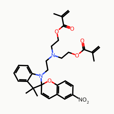 C=C(C)C(=O)OCCN(CCOC(=O)C(=C)C)CCN1c2ccccc2C(C)(C)C12C=Cc1cc([N+](=O)[O-])ccc1O2